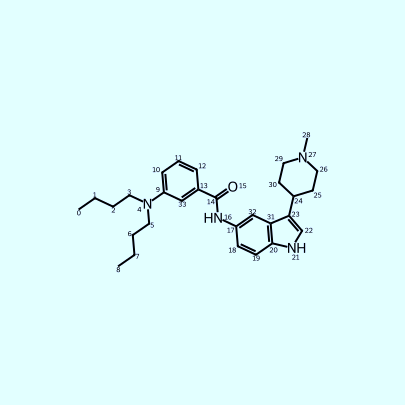 CCCCN(CCCC)c1cccc(C(=O)Nc2ccc3[nH]cc(C4CCN(C)CC4)c3c2)c1